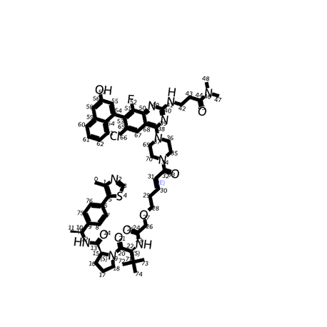 Cc1ncsc1-c1ccc([C@H](C)NC(=O)[C@@H]2CCCN2C(=O)[C@@H](NC(=O)COCC/C=C/C(=O)N2CCN(c3nc(NCCC(=O)N(C)C)nc4c(F)c(-c5cc(O)cc6ccccc56)c(Cl)cc34)CC2)C(C)(C)C)cc1